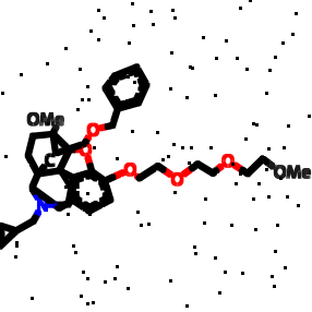 COCCOCCOCCOc1ccc2c3c1OC1C4(OC)CCC5(CC4COCc4ccccc4)C(C2)N(CC2CC2)CC[C@]315